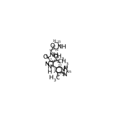 Cc1cc(-c2[nH]nc(C(=O)NCC3CNCCO3)c2C(C)C)cn2ncnc12